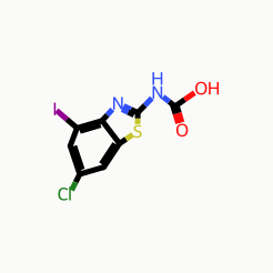 O=C(O)Nc1nc2c(I)cc(Cl)cc2s1